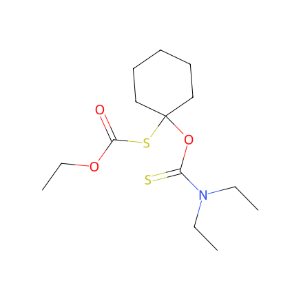 CCOC(=O)SC1(OC(=S)N(CC)CC)CCCCC1